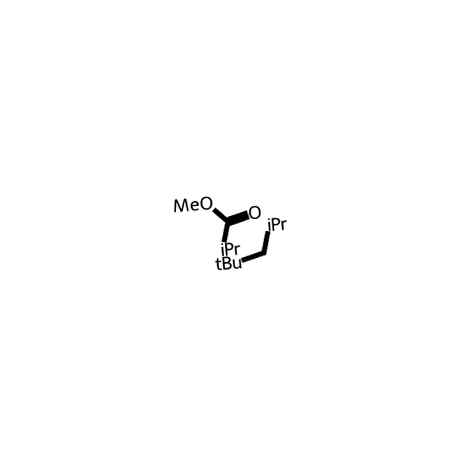 CC(C)CC(C)(C)C.COC(=O)C(C)C